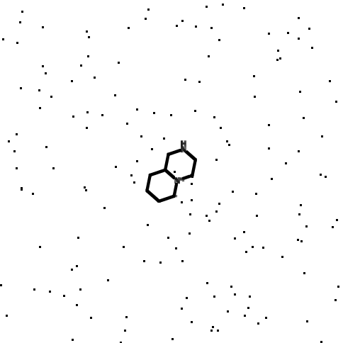 [CH]1CCCC2CNCC[N+]12